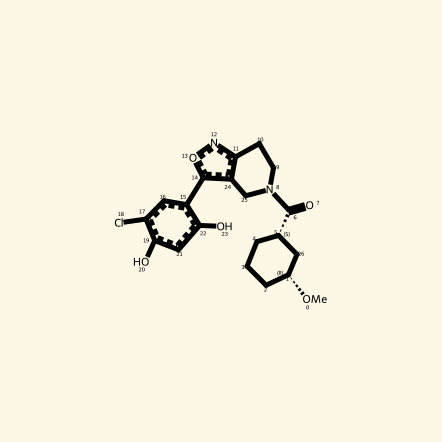 CO[C@@H]1CCC[C@H](C(=O)N2CCc3noc(-c4cc(Cl)c(O)cc4O)c3C2)C1